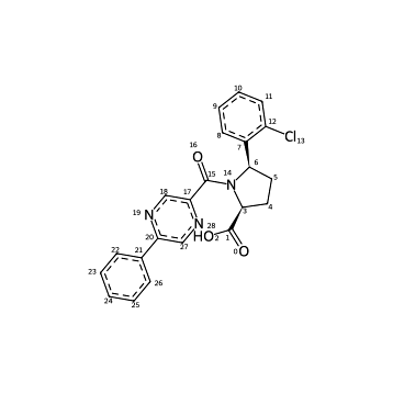 O=C(O)[C@@H]1CC[C@H](c2ccccc2Cl)N1C(=O)c1cnc(-c2ccccc2)cn1